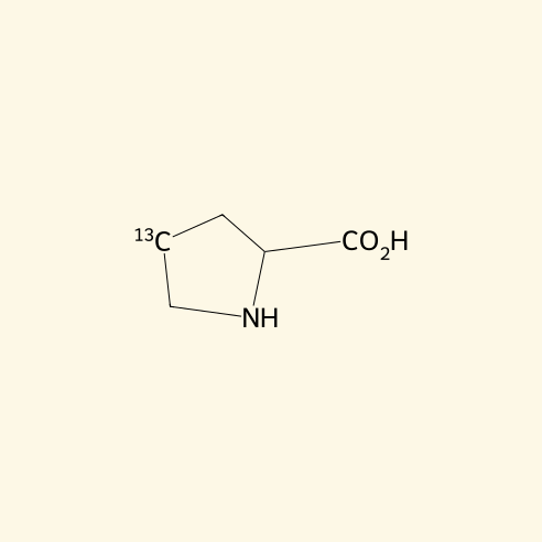 O=C(O)C1C[13CH2]CN1